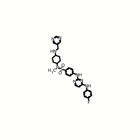 CN(C1CCC(NCc2cncnc2)CC1)S(=O)(=O)c1ccc(Nc2nccc(Nc3ccc(F)cc3)n2)cc1